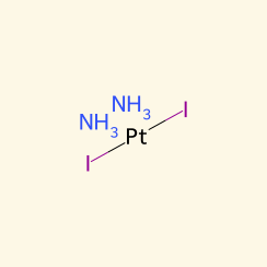 N.N.[I][Pt][I]